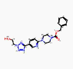 O=C(OCc1ccccc1)N1CCN(c2ccc(-c3nnn(CCO)n3)cn2)CC1